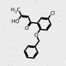 C/C(O)=C/C(=O)c1cc(Cl)ccc1OCc1ccccc1